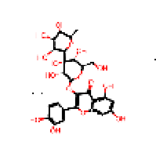 C[C@H]1OC([C@]2(O)[C@H](O)[C@@H](CO)OC(Oc3c(-c4ccc(O)c(O)c4)oc4cc(O)cc(O)c4c3=O)[C@@H]2O)[C@@H](O)[C@@H](O)[C@@H]1O